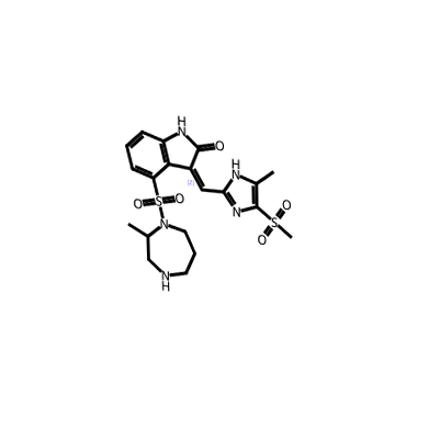 Cc1[nH]c(/C=C2\C(=O)Nc3cccc(S(=O)(=O)N4CCCNCC4C)c32)nc1S(C)(=O)=O